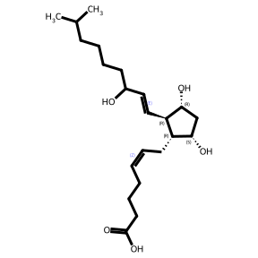 CC(C)CCCCC(O)/C=C/[C@@H]1[C@@H](C/C=C\CCCC(=O)O)[C@@H](O)C[C@H]1O